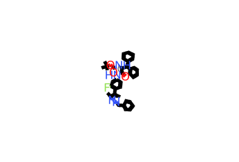 Cc1nn(Cc2ccccc2)cc1-c1ccc(NC(=O)[C@@H](NC(=O)OC(C)(C)C)C(c2ccccc2)c2ccccc2)cc1F